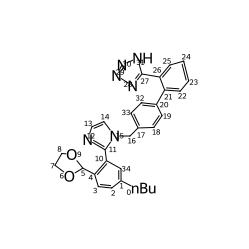 CCCCc1ccc(C2OCCO2)c(-c2nccn2Cc2ccc(-c3ccccc3-c3nnn[nH]3)cc2)c1